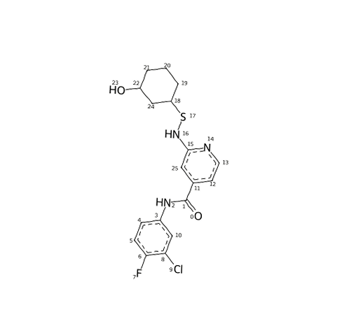 O=C(Nc1ccc(F)c(Cl)c1)c1ccnc(NSC2CCCC(O)C2)c1